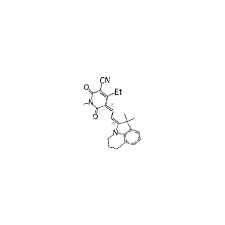 CCC1=C(C#N)C(=O)N(C)C(=O)/C1=C\C=C1\N2CCCc3cccc(c32)C1(C)C